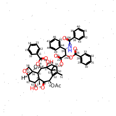 CC(=O)O[C@H]1C(=O)[C@@]2(C)C([C@H](OC(=O)c3ccccc3)[C@]3(O)C[C@H](OC(=O)[C@H](OC(=O)c4ccccc4)[C@@H](NC(=O)c4ccccc4)c4ccccc4)C(C)=C1C3(C)C)[C@]1(OC(C)=O)CO[C@@H]1C[C@@H]2O